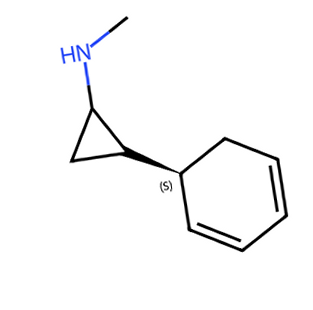 CNC1CC1[C@@H]1C=CC=CC1